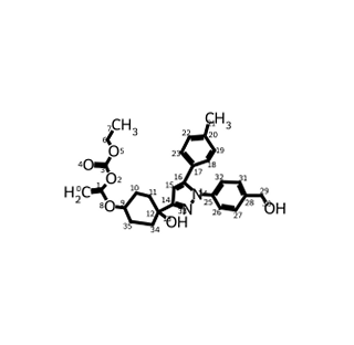 C=C(OC(=O)OCC)OC1CCC(O)(c2cc(-c3ccc(C)cc3)n(-c3ccc(CO)cc3)n2)CC1